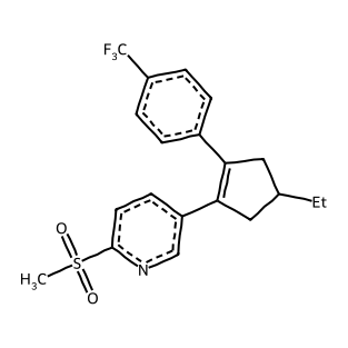 CCC1CC(c2ccc(C(F)(F)F)cc2)=C(c2ccc(S(C)(=O)=O)nc2)C1